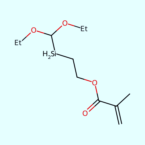 C=C(C)C(=O)OCC[SiH2]C(OCC)OCC